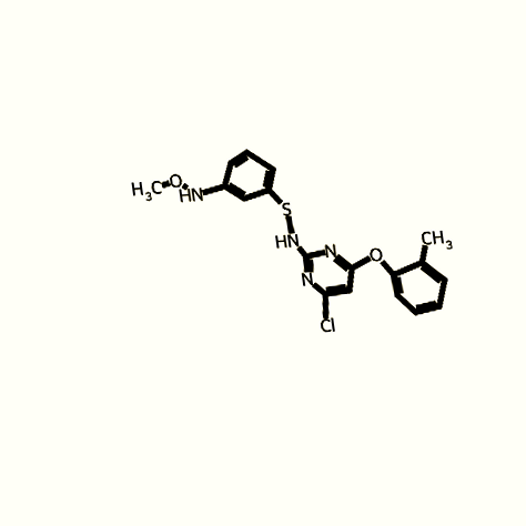 CONc1cccc(SNc2nc(Cl)cc(Oc3ccccc3C)n2)c1